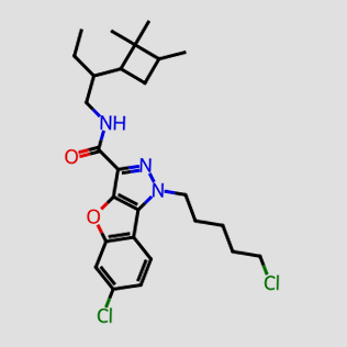 CCC(CNC(=O)c1nn(CCCCCCl)c2c1oc1cc(Cl)ccc12)C1CC(C)C1(C)C